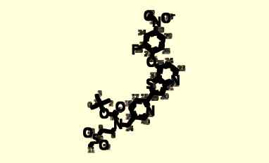 CC(C)(C)OC(=O)N(CCS(C)(=O)=O)Cc1ccc(-c2cc3nccc(Oc4ccc([N+](=O)[O-])cc4F)c3s2)nc1